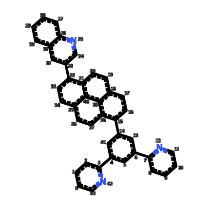 c1ccc(-c2cc(-c3ccccn3)cc(-c3ccc4ccc5c(-c6cnc7ccccc7c6)ccc6ccc3c4c65)c2)nc1